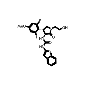 COc1cc(F)c([C@@H]2CN(CCO)C(=O)[C@H]2NC(=O)Nc2cc3ccccc3s2)c(F)c1